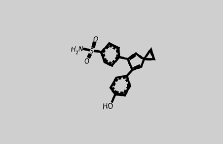 NS(=O)(=O)c1ccc(C2=CC3(C=C2c2ccc(O)cc2)CC3)cc1